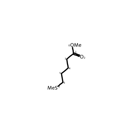 COC(=O)CCCCSC